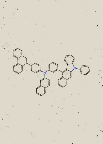 c1ccc(-n2c3ccccc3c3c(-c4cccc(N(c5ccc(-c6cc7ccccc7c7ccccc67)cc5)c5ccc6ccccc6c5)c4)c4ccccc4cc32)cc1